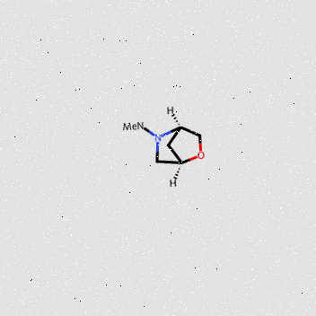 CNN1C[C@H]2C[C@@H]1CO2